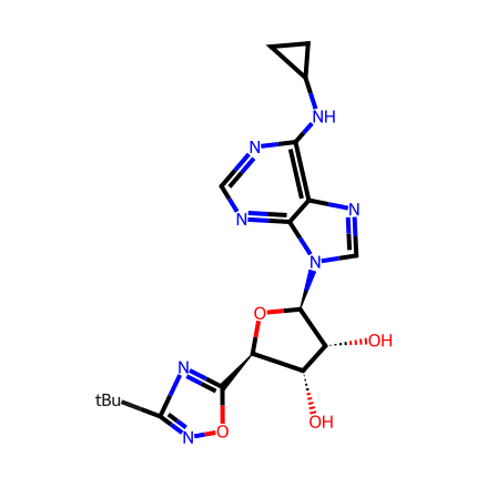 CC(C)(C)c1noc([C@H]2O[C@@H](n3cnc4c(NC5CC5)ncnc43)[C@H](O)[C@@H]2O)n1